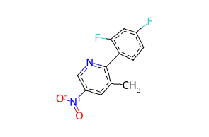 Cc1cc([N+](=O)[O-])cnc1-c1ccc(F)cc1F